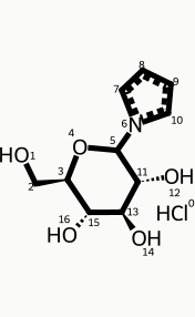 Cl.OC[C@H]1OC(n2cccc2)[C@H](O)[C@@H](O)[C@@H]1O